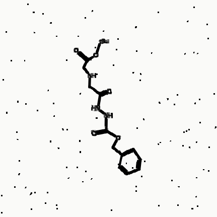 CC(C)(C)OC(=O)CNCC(=O)NNC(=O)OCc1ccccc1